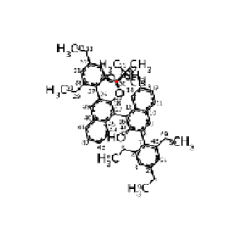 CCc1cc(CC)c(-c2cc3ccccc3c(-c3c(OC(=O)C(C)(C)C)c(-c4c(CC)cc(CC)cc4CC)cc4ccccc34)c2O)c(CC)c1